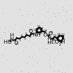 O=C(CCCCCCC(=O)Nc1cccc(COC(=O)NC(Cc2ccccc2)C(=O)O)c1)NO